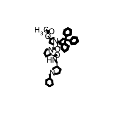 CC(=O)O[C@@H]1C[C@@H](C(=O)N2CCC[C@@H]2C(=O)NC[C@H]2CCCN(CC3CCCCC3)C2)N(C(=O)CC(c2ccccc2)(c2ccccc2)c2ccccc2)C1